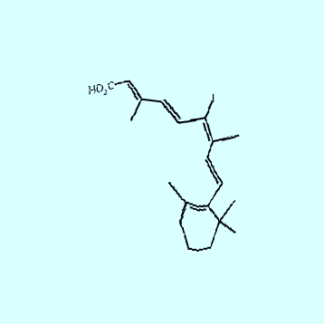 CC1=C(/C=C/C(C)=C(I)\C=C\C(C)=C\C(=O)O)C(C)(C)CCC1